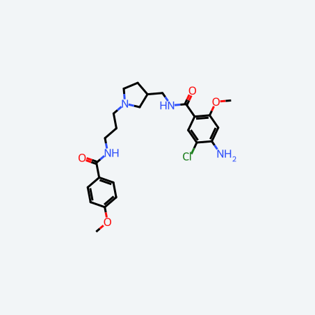 COc1ccc(C(=O)NCCCN2CCC(CNC(=O)c3cc(Cl)c(N)cc3OC)C2)cc1